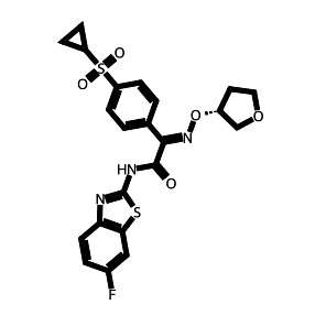 O=C(Nc1nc2ccc(F)cc2s1)/C(=N/O[C@@H]1CCOC1)c1ccc(S(=O)(=O)C2CC2)cc1